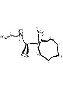 NNC(=O)[N+]1(N)CCCCC1